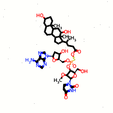 COC1C(OP(=O)(OC[C@H]2O[C@@H](n3cnc4c(N)ncnc43)CC2O)SOC(=O)CCC(C)C2CCC3C4CCC5CC(O)CCC5(C)C4CC(O)C23C)[C@@H](CO)O[C@H]1n1ccc(=O)[nH]c1=O